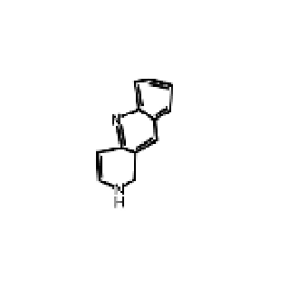 C1=Cc2nc3ccccc3cc2CN1